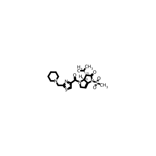 CC(C)[C@@H]1C(=O)N(S(C)(=O)=O)C2=CCN(C(=O)c3csc(CN4CCCCC4)n3)[C@H]21